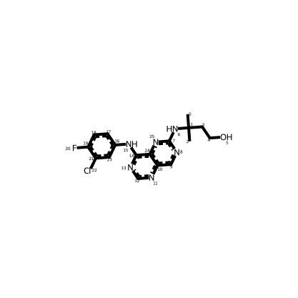 CC(C)(CCO)Nc1ncc2ncnc(Nc3ccc(F)c(Cl)c3)c2n1